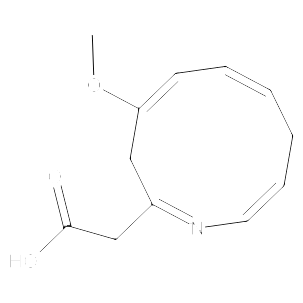 CO/C1=C/C=C\C/C=C\N=C(\CC(=O)O)C1